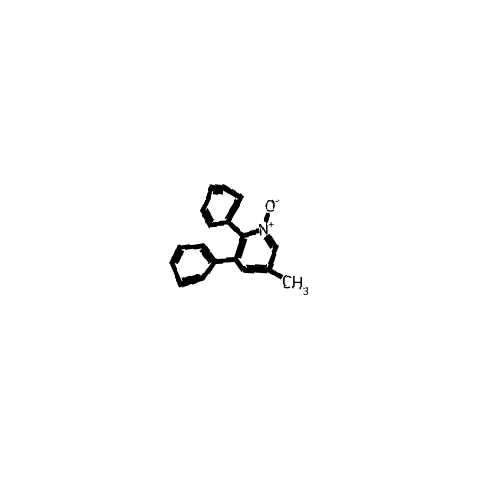 Cc1cc(-c2ccccc2)c(-c2ccccc2)[n+]([O-])c1